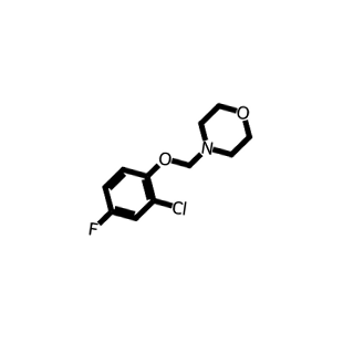 Fc1ccc(OCN2CCOCC2)c(Cl)c1